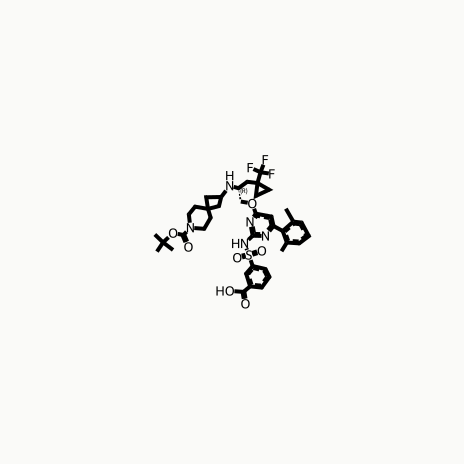 Cc1cccc(C)c1-c1cc(OC[C@@H](CC2(C(F)(F)F)CC2)NC2CC3(CCN(C(=O)OC(C)(C)C)CC3)C2)nc(NS(=O)(=O)c2cccc(C(=O)O)c2)n1